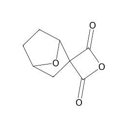 O=C1OC(=O)C12CC1CCC2O1